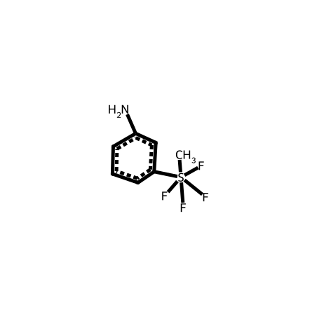 CS(F)(F)(F)(F)c1cccc(N)c1